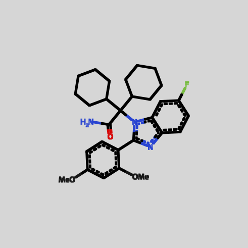 COc1ccc(-c2nc3ccc(F)cc3n2C(C(N)=O)(C2CCCCC2)C2CCCCC2)c(OC)c1